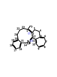 C/C1=C2\CCC3=CCC=CC=C3\C2=N\Cc2ccccc2CCC1